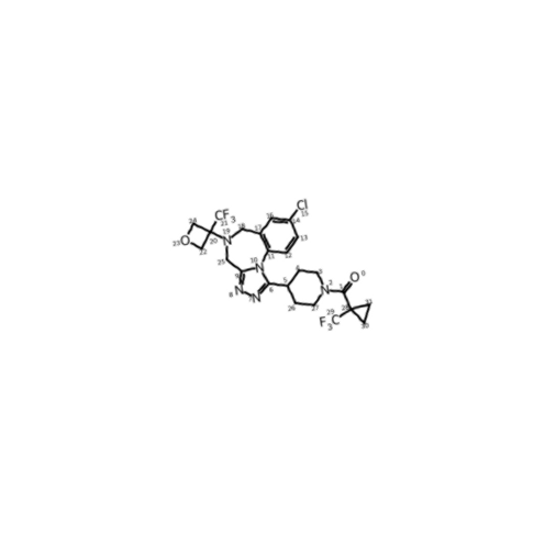 O=C(N1CCC(c2nnc3n2-c2ccc(Cl)cc2CN(C2(C(F)(F)F)COC2)C3)CC1)C1(C(F)(F)F)CC1